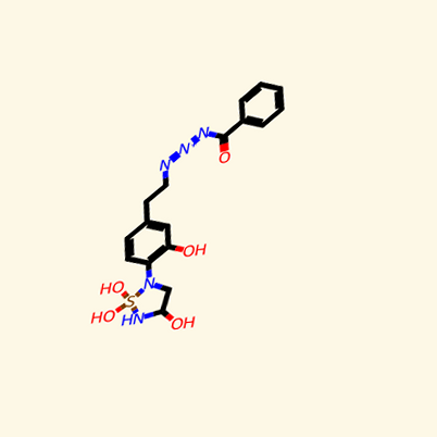 O=C(N=[N+]=NCCc1ccc(N2CC(O)NS2(O)O)c(O)c1)c1ccccc1